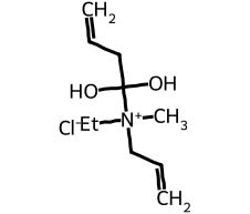 C=CCC(O)(O)[N+](C)(CC)CC=C.[Cl-]